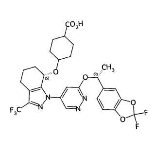 C[C@@H](Oc1cc(-n2nc(C(F)(F)F)c3c2[C@@H](OC2CCC(C(=O)O)CC2)CCC3)cnn1)c1ccc2c(c1)OC(F)(F)O2